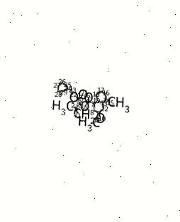 C=C(C)[C@H](OC(=O)c1cc(OC)cc2c(C)cccc12)C(=O)OCc1ccccc1